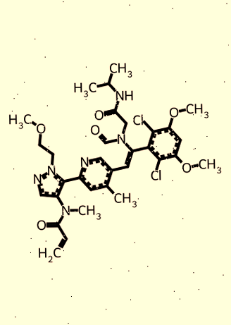 C=CC(=O)N(C)c1cnn(CCOC)c1-c1cc(C)c(/C=C(/c2c(Cl)c(OC)cc(OC)c2Cl)N(C=O)CC(=O)NC(C)C)cn1